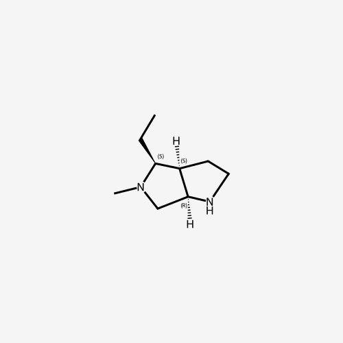 CC[C@H]1[C@H]2CCN[C@H]2CN1C